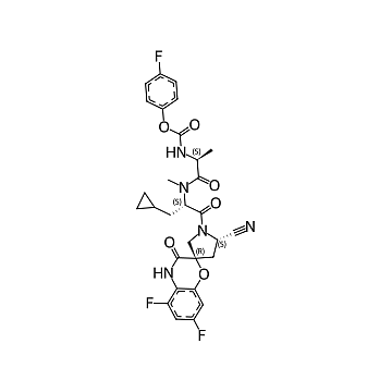 C[C@H](NC(=O)Oc1ccc(F)cc1)C(=O)N(C)[C@@H](CC1CC1)C(=O)N1C[C@@]2(C[C@H]1C#N)Oc1cc(F)cc(F)c1NC2=O